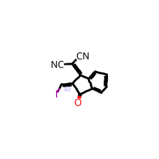 N#CC(C#N)=C1/C(=C/I)C(=O)c2ccccc21